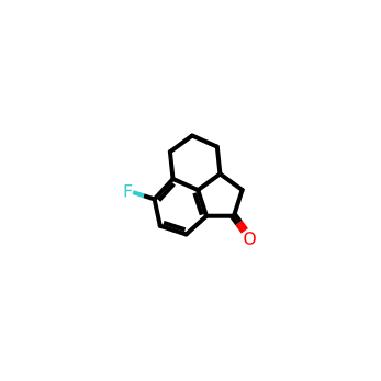 O=C1CC2CCCc3c(F)ccc1c32